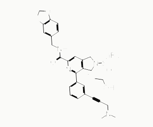 CCCC[S@+]([O-])N1Cc2cc(C(=O)NCc3ccc4c(c3)OCO4)nc(-c3cccc(C#CCN(C)C)c3)c2[C@H]1CCO